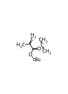 C=C(C)C(=O)OC(C)(C)C.C=C=C